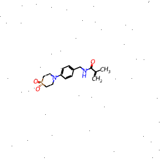 C=C(C)C(=O)NCc1ccc(N2CCS(=O)(=O)CC2)cc1